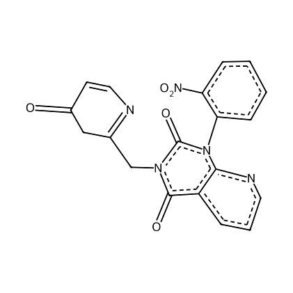 O=C1C=CN=C(Cn2c(=O)c3cccnc3n(-c3ccccc3[N+](=O)[O-])c2=O)C1